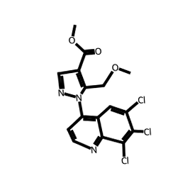 COCc1c(C(=O)OC)cnn1-c1ccnc2c(Cl)c(Cl)c(Cl)cc12